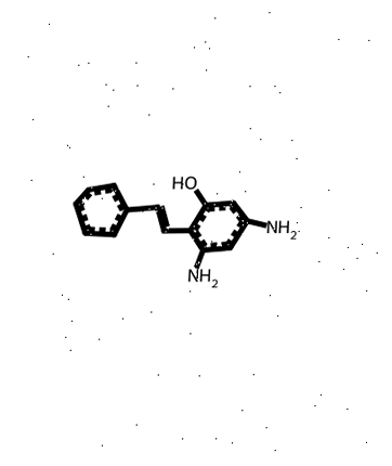 Nc1cc(N)c(C=Cc2ccccc2)c(O)c1